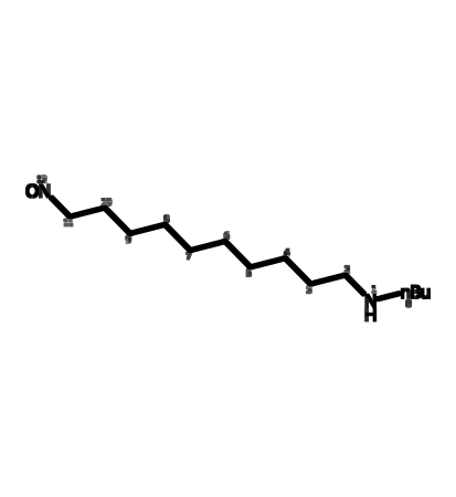 CCCCNCCCCCCCCCCN=O